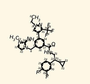 CCn1cc(-c2cc(Cn3ccn(C)c3=N)cc(C(=O)NC[C@H](c3ccc(F)c(F)c3)C3CC3)c2)c(C(F)(F)F)n1